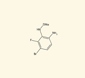 CONc1c(N)ccc(Br)c1F